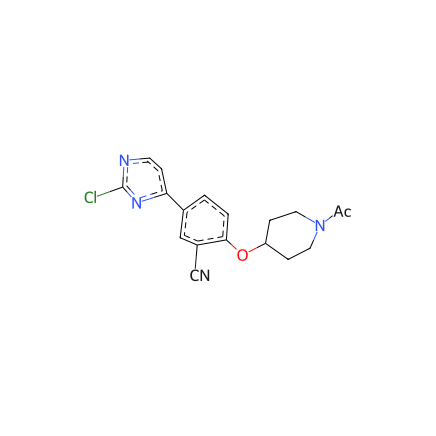 CC(=O)N1CCC(Oc2ccc(-c3ccnc(Cl)n3)cc2C#N)CC1